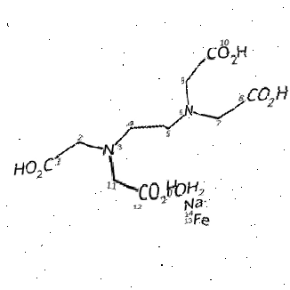 O.O=C(O)CN(CCN(CC(=O)O)CC(=O)O)CC(=O)O.[Fe].[Na]